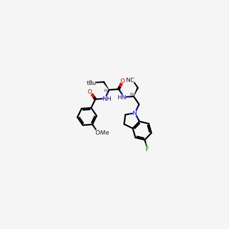 COc1cccc(C(=O)N[C@@H](CC(C)(C)C)C(=O)N[C@@H](CC#N)CN2CCc3cc(F)ccc32)c1